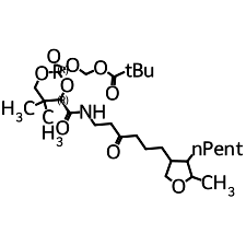 CCCCCC1C(CCCC(=O)CCNC(=O)[C@@H]2O[P@](=O)(OCOC(=O)C(C)(C)C)OCC2(C)C)COC1C